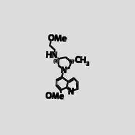 COCCN[C@@H]1C[C@H](C)CN(c2ccc(OC)c3ncccc23)C1